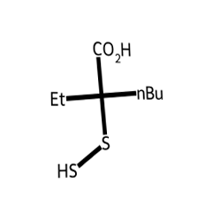 CCCCC(CC)(SS)C(=O)O